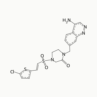 Nc1cnnc2cc(CN3CCN(S(=O)(=O)/C=C/c4ccc(Cl)s4)CC3=O)ccc12